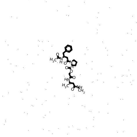 CNC(=O)C[C@H](C)NC(=O)COC(=O)[C@H]1CCCN1C(=O)CC(Cc1ccccc1)NC(C)=O